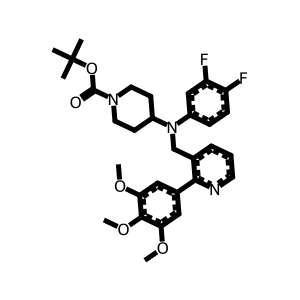 COc1cc(-c2ncccc2CN(c2ccc(F)c(F)c2)C2CCN(C(=O)OC(C)(C)C)CC2)cc(OC)c1OC